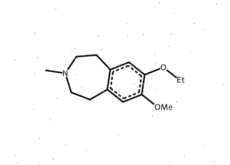 CCOc1cc2c(cc1OC)CCN(C)CC2